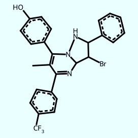 CC1=C(c2ccc(O)cc2)N2NC(c3ccccc3)C(Br)C2N=C1c1ccc(C(F)(F)F)cc1